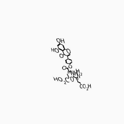 N[C@H](CCC(=O)O)C(=O)N[C@H](CCC(=O)O)C(=O)Oc1ccc(-c2coc3cc(O)cc(O)c3c2=O)cc1